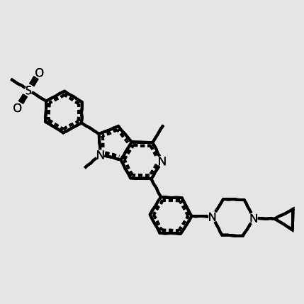 Cc1nc(-c2cccc(N3CCN(C4CC4)CC3)c2)cc2c1cc(-c1ccc(S(C)(=O)=O)cc1)n2C